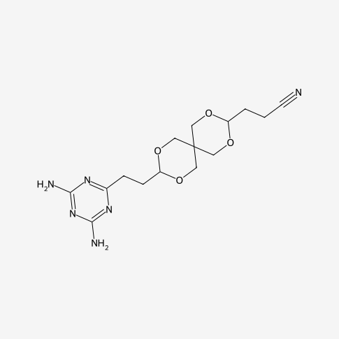 N#CCCC1OCC2(CO1)COC(CCc1nc(N)nc(N)n1)OC2